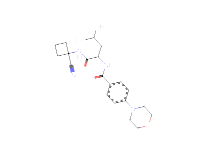 CC(C)CC(NC(=O)c1ccc(N2CCOCC2)cc1)C(=O)NC1(C#N)CCC1